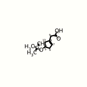 C[Si](C)(C)OC1CC=C(CC(=O)O)C1